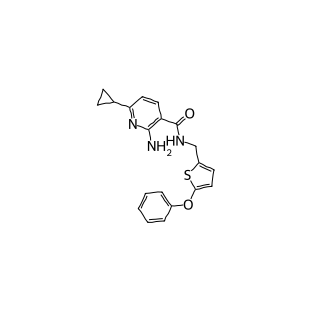 Nc1nc(C2CC2)ccc1C(=O)NCc1ccc(Oc2ccccc2)s1